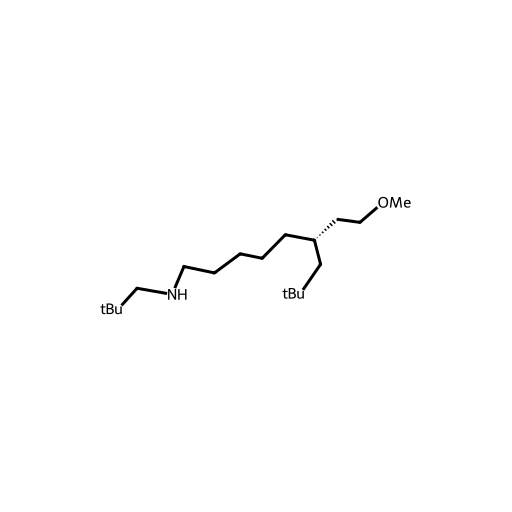 COCC[C@@H](CCCCCNCC(C)(C)C)CC(C)(C)C